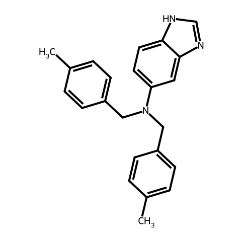 Cc1ccc(CN(Cc2ccc(C)cc2)c2ccc3[nH]cnc3c2)cc1